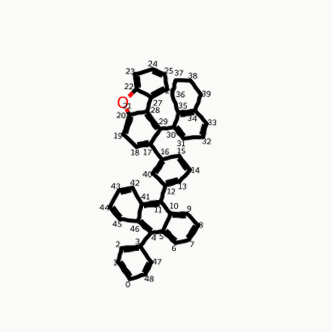 c1ccc(-c2c3ccccc3c(-c3cccc(-c4ccc5oc6ccccc6c5c4-c4cccc5c4CCCC5)c3)c3ccccc23)cc1